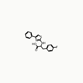 O=C(O)C(Cc1ccc(F)cc1)Nc1nc(-c2ccccc2)cs1